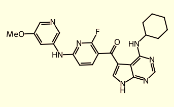 COc1cncc(Nc2ccc(C(=O)c3c[nH]c4ncnc(NC5CCCCC5)c34)c(F)n2)c1